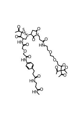 CNC(=O)CCNC(=O)CCc1ccc(NC(=O)COCC(=O)NC(CSC2CC(=O)N(CCC(=O)NCCOCCOCCC(=O)C(C(C)=O)(C(C)=O)C(C)=O)C2=O)C(=O)C2(C(C)=O)SS2)cc1